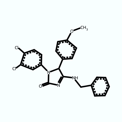 COc1ccc(C2C(NCc3ccccc3)=NC(=O)N2c2ccc(Cl)c(Cl)c2)cc1